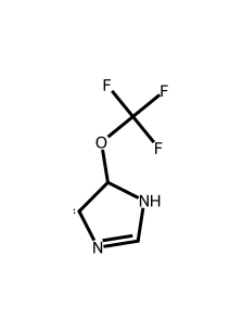 FC(F)(F)OC1[C]N=CN1